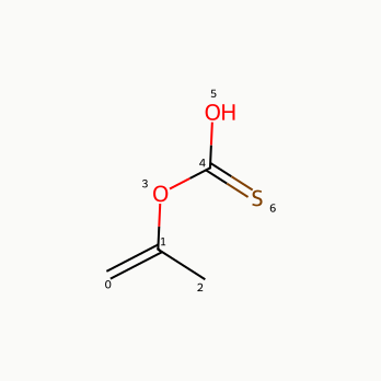 C=C(C)OC(O)=S